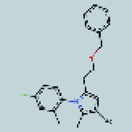 CC(=O)c1cc(CCOCc2ccccc2)n(-c2ccc(F)cc2C)c1C